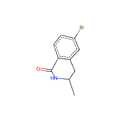 CC1Cc2cc(Br)ccc2C(=O)N1